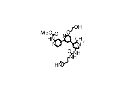 COC(=O)Nc1cc(-c2cc(-c3cc(NC(=O)NCCC4CNC4)cnc3C)cc(OCCO)n2)ccn1